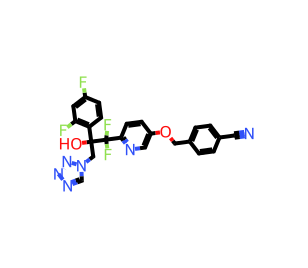 N#Cc1ccc(COc2ccc(C(F)(F)C(O)(Cn3cnnn3)c3ccc(F)cc3F)nc2)cc1